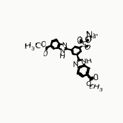 COC(=O)c1ccc2nc(-c3cc(-c4nc5ccc(C(=O)OC)cc5[nH]4)cc(S(=O)(=O)[O-])c3)[nH]c2c1.[Na+]